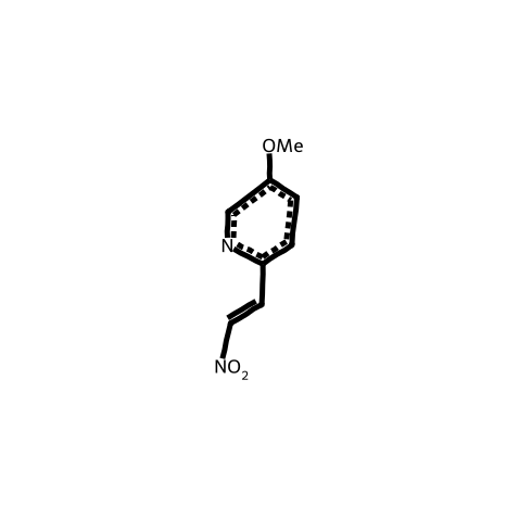 COc1ccc(C=C[N+](=O)[O-])nc1